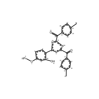 CCCOc1ccc(-c2nc(C(=O)c3ccc(C)cc3)nc(C(=O)c3ccc(C)cc3)n2)c(O)c1